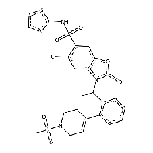 CC(c1ccccc1C1=CCN(S(C)(=O)=O)CC1)n1c(=O)oc2cc(S(=O)(=O)Nc3ncns3)c(Cl)cc21